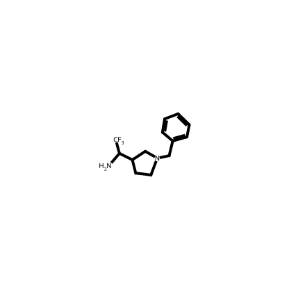 NC(C1CCN(Cc2ccccc2)C1)C(F)(F)F